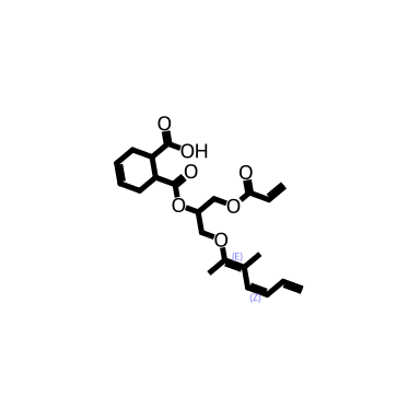 C=C/C=C\C(C)=C(/C)OCC(COC(=O)C=C)OC(=O)C1CC=CCC1C(=O)O